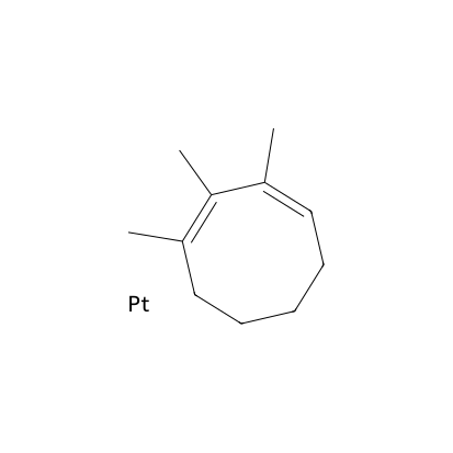 CC1=CCCCCC(C)=C1C.[Pt]